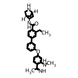 CCc1cc(-c2cccc(Oc3ccc(C(C)=N)c(NC)c3)c2)ccc1C(=O)N[C@@H]1C[C@H]2C[C@@H]1CN2